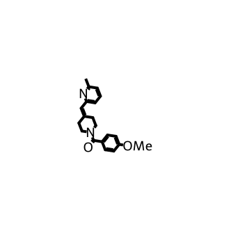 COc1ccc(C(=O)N2CCC(=Cc3cccc(C)n3)CC2)cc1